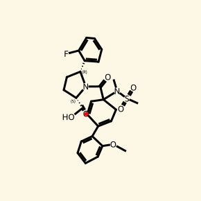 COc1ccccc1C1=CCC(C(=O)N2[C@@H](c3ccccc3F)CC[C@H]2C(=O)O)(N(C)S(C)(=O)=O)C=C1